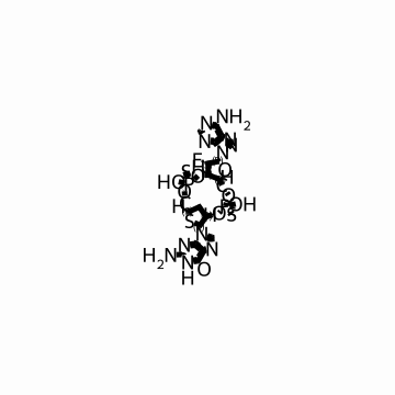 Nc1nc2c(ncn2[C@@H]2S[C@@H]3COP(O)(=S)O[C@H]4[C@H](F)[C@H](n5nnc6c(N)ncnc65)O[C@@H]4COP(O)(=S)O[C@@H]2C3)c(=O)[nH]1